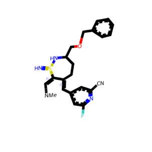 CN/C=C1\C(=C\c2cc(F)nc(C#N)c2)CCC(COCc2ccccc2)NS1=N